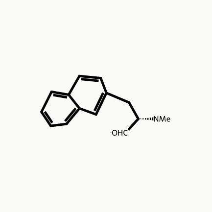 CN[C@H]([C]=O)Cc1ccc2ccccc2c1